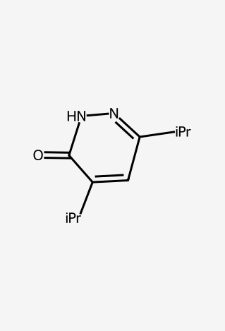 CC(C)c1cc(C(C)C)c(=O)[nH]n1